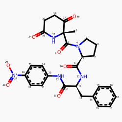 C[C@@]1(C(=O)N2CCC[C@H]2C(=O)N[C@@H](Cc2ccccc2)C(=O)Nc2ccc([N+](=O)[O-])cc2)NC(=O)CCC1=O